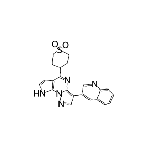 O=S1(=O)CCC(c2nc3c(-c4cnc5ccccc5c4)cnn3c3[nH]ccc23)CC1